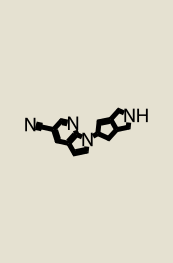 N#Cc1cnc2c(ccn2C2C=C3CNCC3C2)c1